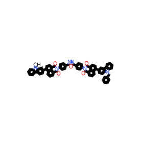 Cn1c2ccccc2c2ccc(-c3ccc4c5c(cccc35)C(=O)N(c3ccc(-c5nnc(-c6ccc(N7C(=O)c8cccc9c(-c%10ccc%11c(c%10)c%10ccccc%10n%11Cc%10ccccc%10)ccc(c89)C7=O)cc6)o5)cc3)C4=O)cc21